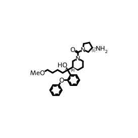 COCCCC[C@@](O)(c1ccccc1Oc1ccccc1)[C@@H]1CCCN(C(=O)N2CC[C@H](N)C2)C1